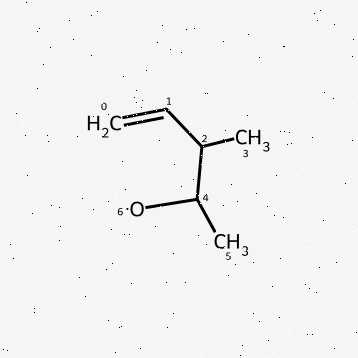 C=CC(C)C(C)[O]